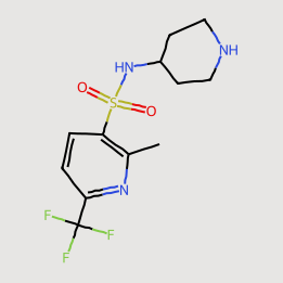 Cc1nc(C(F)(F)F)ccc1S(=O)(=O)NC1CCNCC1